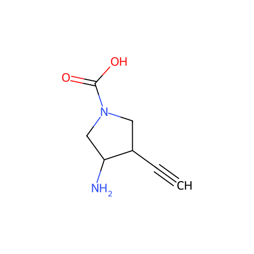 C#CC1CN(C(=O)O)CC1N